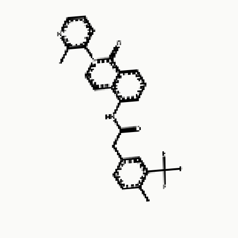 Cc1ccc(CC(=O)Nc2cccc3c(=O)n(-c4cccnc4C)ccc23)cc1C(F)(F)F